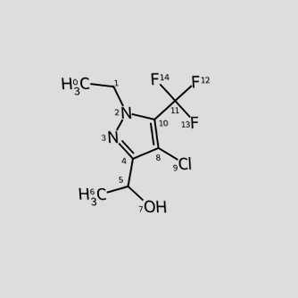 CCn1nc(C(C)O)c(Cl)c1C(F)(F)F